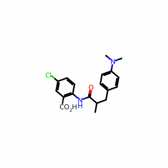 CC(Cc1ccc(N(C)C)cc1)C(=O)Nc1ccc(Cl)cc1C(=O)O